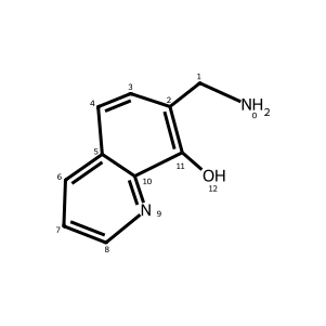 NCc1ccc2cccnc2c1O